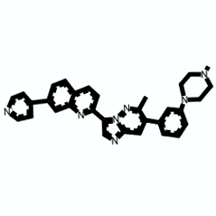 Cc1nn2c(-c3ccc4ccc(-c5ccncc5)cc4n3)cnc2cc1-c1cccc(N2CCN(C)CC2)c1